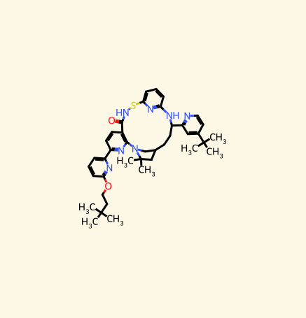 CC(C)(C)CCOc1cccc(-c2ccc3c(n2)N2CC(CCC(c4cc(C(C)(C)C)ccn4)Nc4cccc(n4)SNC3=O)CC2(C)C)n1